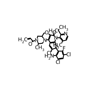 C=CC(=O)N1CC2COc3c(c4cc(Cl)c(-c5c(N)c(Cl)cc(Cl)c5F)nc4n(-c4c(C)ccnc4C(C)C)c3=O)N2CC1C